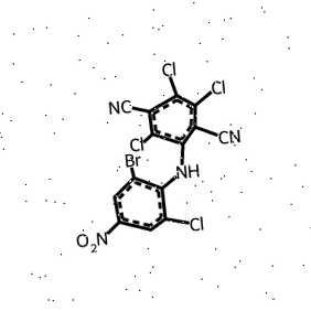 N#Cc1c(Cl)c(Cl)c(C#N)c(Nc2c(Cl)cc([N+](=O)[O-])cc2Br)c1Cl